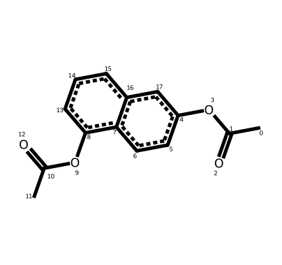 CC(=O)Oc1ccc2c(OC(C)=O)cccc2c1